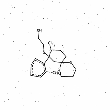 CN1CCC2(CC1(SCCS)c1ccccc1C=O)SCCCS2